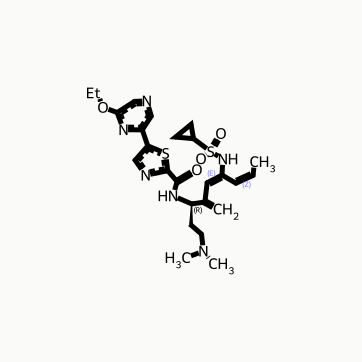 C=C(/C=C(\C=C/C)NS(=O)(=O)C1CC1)[C@@H](CCN(C)C)NC(=O)c1ncc(-c2cncc(OCC)n2)s1